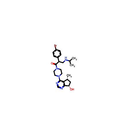 CC(C)NCC(C(=O)N1CCN(c2ncnc3c2[C@H](C)C[C@@H]3O)CC1)c1ccc(Br)cc1